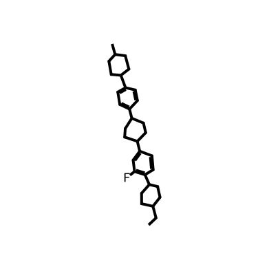 CCC1CCC(c2ccc(C3CCC(c4ccc(C5CCC(C)CC5)cc4)CC3)cc2F)CC1